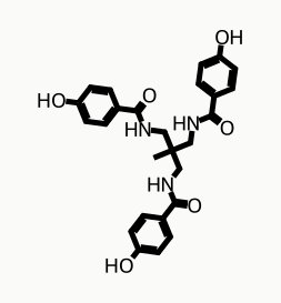 CC(CNC(=O)c1ccc(O)cc1)(CNC(=O)c1ccc(O)cc1)CNC(=O)c1ccc(O)cc1